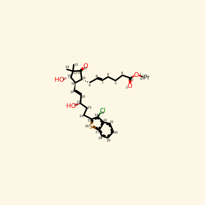 CC(C)OC(=O)CCCC=CC[C@H]1C(=O)C(C)(C)[C@@H](O)[C@@H]1C=C[C@H](O)CCc1sc2ccccc2c1Cl